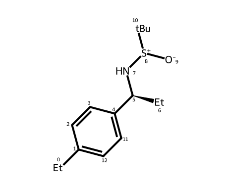 CCc1ccc([C@H](CC)N[S+]([O-])C(C)(C)C)cc1